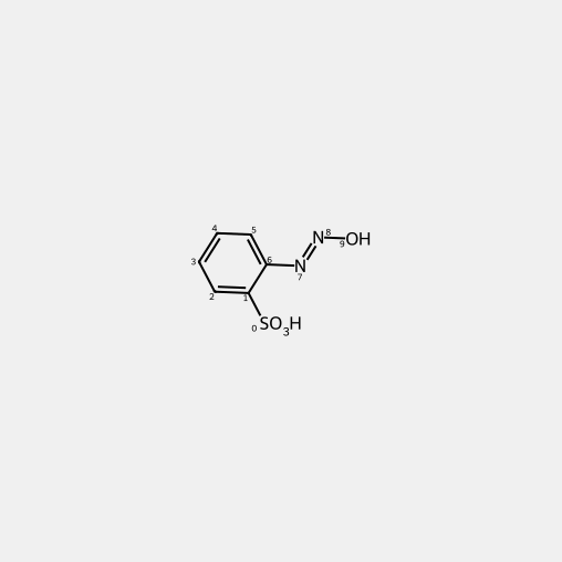 O=S(=O)(O)c1ccccc1N=NO